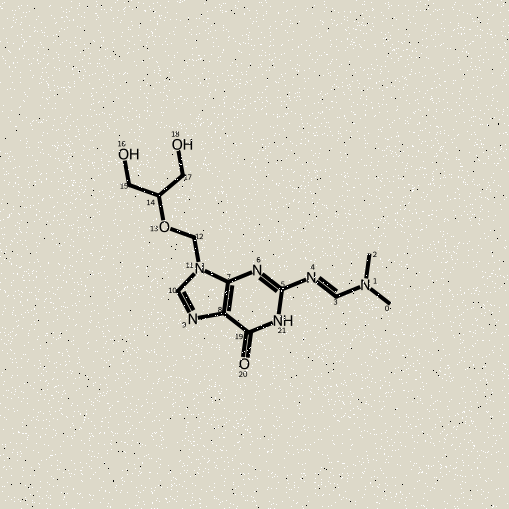 CN(C)/C=N/c1nc2c(ncn2COC(CO)CO)c(=O)[nH]1